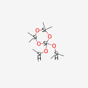 C[SiH](C)O[Si]1(O[SiH](C)C)O[Si](C)(C)O[Si](C)(C)O1